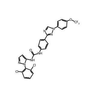 O=C(Nc1ccc(-c2ncn(-c3ccc(OC(F)(F)F)cc3)n2)cc1)Nc1ccnn1-c1c(Cl)cccc1Cl